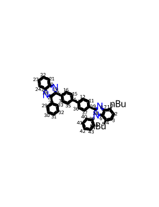 CCCCc1ccc(CCCC)c2c1nc(-c1ccc(-c3ccc(-c4nc5ccccc5nc4-c4ccccc4)cc3)cc1)n2-c1ccccc1